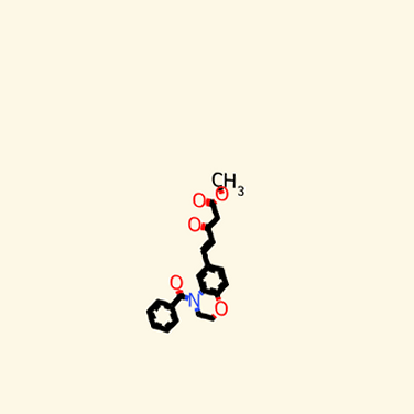 COC(=O)CC(=O)C=Cc1ccc2c(c1)N(C(=O)c1ccccc1)CCO2